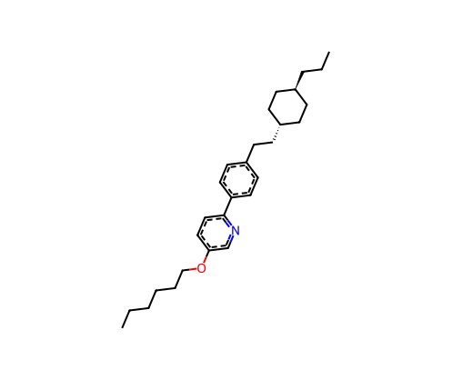 CCCCCCOc1ccc(-c2ccc(CC[C@H]3CC[C@H](CCC)CC3)cc2)nc1